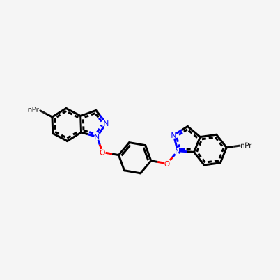 CCCc1ccc2c(cnn2OC2=CC=C(On3ncc4cc(CCC)ccc43)CC2)c1